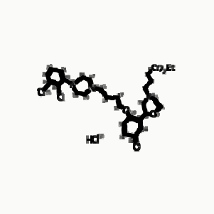 CCOC(=O)CCCN1C=COC(C2=C(OCCCCN3CCN(c4cccc(Cl)c4Cl)CC3)C=CC(=O)C2)C1.Cl